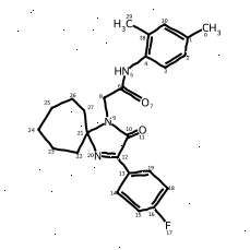 Cc1ccc(NC(=O)CN2C(=O)C(c3ccc(F)cc3)=NC23CCCCCC3)c(C)c1